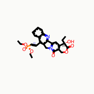 CCOP(=O)(/C=C/c1c2c(nc3ccccc13)-c1cc3c(c(=O)n1C2)COC(=O)[C@]3(O)CC)OCC